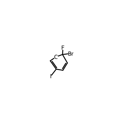 FC1(Br)C=CC(I)=CC1